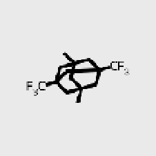 CC12CC3(C)CC(C(F)(F)F)(C1)CC(C(F)(F)F)(C2)C3